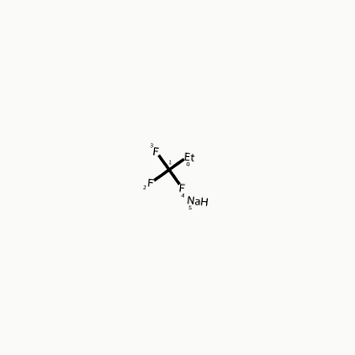 CCC(F)(F)F.[NaH]